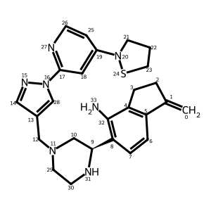 C=C1CCc2c1ccc([C@@H]1CN(Cc3cnn(-c4cc(N5CCCS5)ccn4)c3)CCN1)c2N